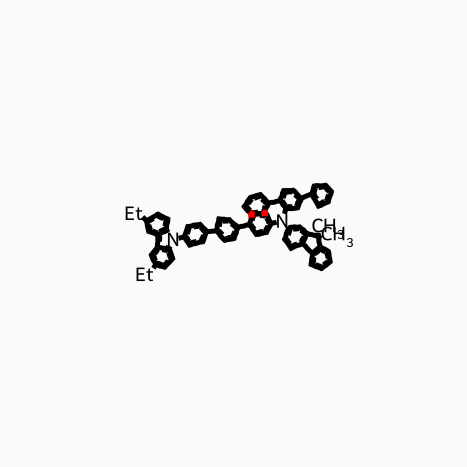 CCc1ccc2c(c1)c1cc(CC)ccc1n2-c1ccc(-c2ccc(-c3ccc(N(c4ccc5c(c4)C(C)(C)c4ccccc4-5)c4cc(-c5ccccc5)ccc4-c4ccccc4)cc3)cc2)cc1